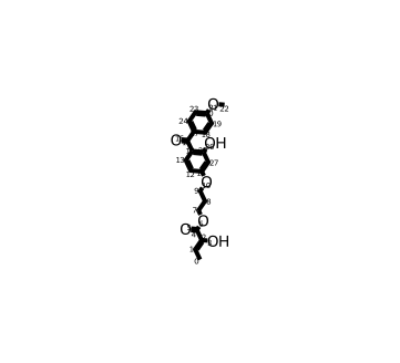 CC=C(O)C(=O)OCCCOc1ccc(C(=O)c2ccc(OC)cc2)c(O)c1